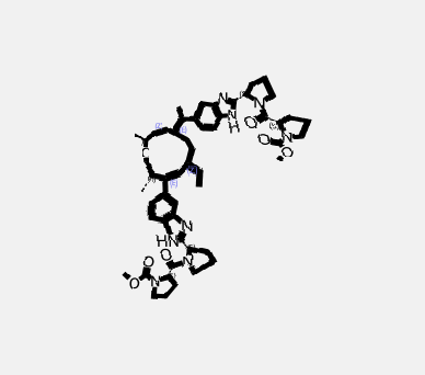 C/C=C1\C=C(\c2ccc3[nH]c([C@@H]4CCCN4C(=O)[C@@H]4CCCN4C(=O)OC)nc3c2)[C@H](C)CC[C@@H](C)/C=C\C(=C(/C)c2ccc3[nH]c([C@@H]4CCCN4C(=O)[C@@H]4CCCN4C(=O)OC)nc3c2)CC1